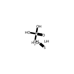 O=P(O)(O)O.[LiH].[S]=[GeH2]